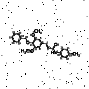 COc1cc(C=CC(=O)Nc2ccc(C)cc2)cc(OC)c1OCc1ccccc1